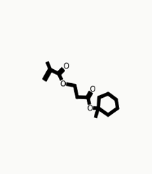 C=C(C)C(=O)OCCC(=O)OC1(C)CCCCC1